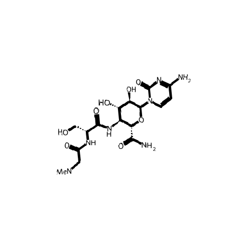 CNCC(=O)N[C@H](CO)C(=O)N[C@H]1[C@H](O)[C@@H](O)C(n2ccc(N)nc2=O)O[C@@H]1C(N)=O